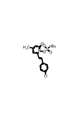 CCCCS(=O)(=O)On1c(/C=C/c2ccc(Cl)cc2)cc(C)cc1=O